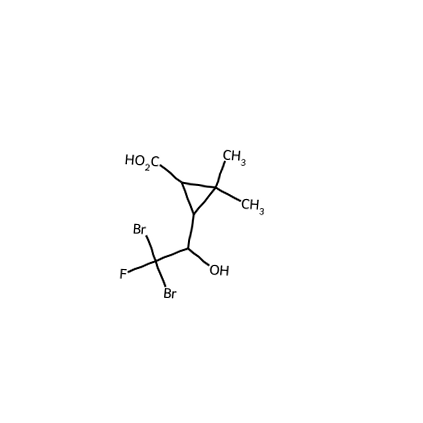 CC1(C)C(C(=O)O)C1C(O)C(F)(Br)Br